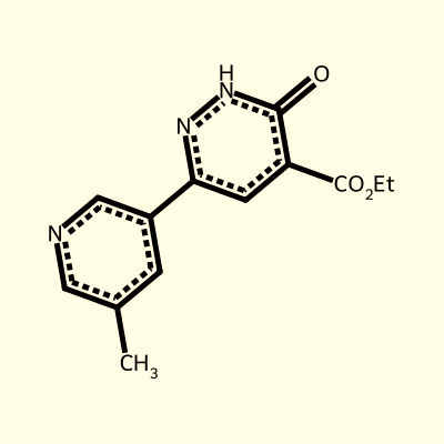 CCOC(=O)c1cc(-c2cncc(C)c2)n[nH]c1=O